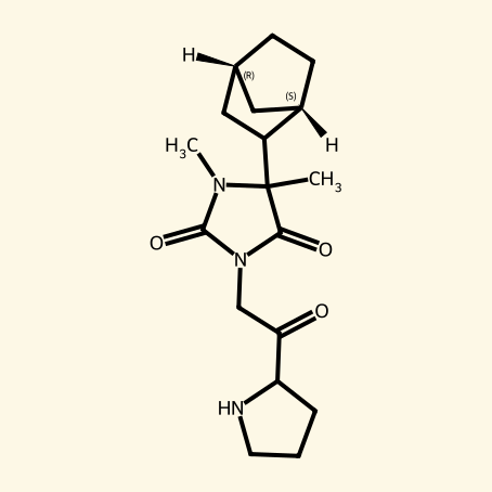 CN1C(=O)N(CC(=O)C2CCCN2)C(=O)C1(C)C1C[C@@H]2CC[C@H]1C2